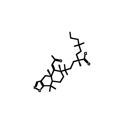 CCCC(C)(C)CC[C@@](C)(CCC(C)(C)[C@]1(C)CCC2C(C)(C)c3oncc3C[C@]2(C)/C1=C/C(C)=O)C(=O)Cl